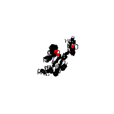 O=C1CCC(N2C(=O)c3cc(-c4cccc5oc(C(NC(=O)CC6CCN(CCNc7cccc8c7C(=O)N(C7CCC(=O)NC7=O)C8=O)CC6)c6cccnc6)cc45)cc(NCCCCCCC(=O)NC(c4ccncc4)c4cc5ccccc5o4)c3C2=O)C(=O)N1